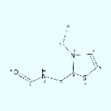 O=CNCC1SC=CN1CF